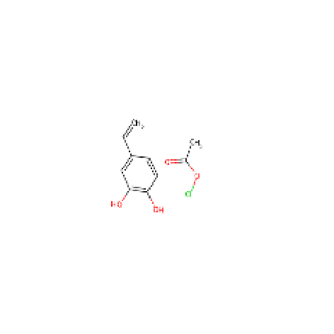 C=Cc1ccc(O)c(O)c1.CC(=O)OCl